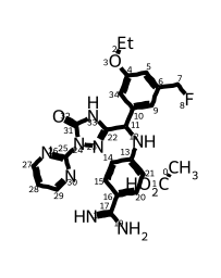 CC(=O)O.CCOc1cc(CF)cc(C(Nc2ccc(C(=N)N)cc2)c2nn(-c3ncccn3)c(=O)[nH]2)c1